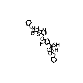 O=C(Cc1ccccc1)NC(=O)N(S)c1ccc(Oc2ccnc3cc(C(=O)NCc4ccccc4)sc23)c(F)c1